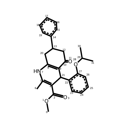 COC(=O)C1=C(C)NC2=C(C(=O)CC(c3ccccc3)C2)C1c1ccccc1OC(C)C